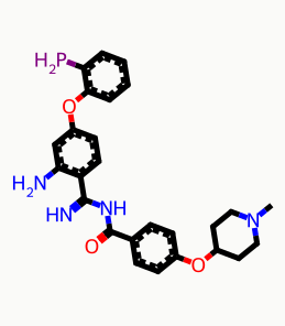 CN1CCC(Oc2ccc(C(=O)NC(=N)c3ccc(Oc4ccccc4P)cc3N)cc2)CC1